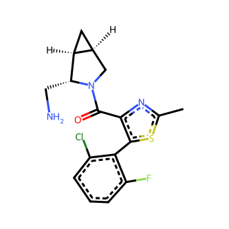 Cc1nc(C(=O)N2C[C@@H]3C[C@@H]3[C@H]2CN)c(-c2c(F)cccc2Cl)s1